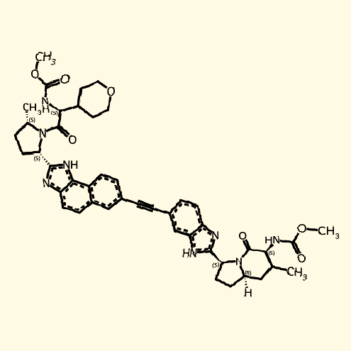 COC(=O)N[C@@H]1C(=O)N2[C@H](CC[C@H]2c2nc3ccc(C#Cc4ccc5c(ccc6nc([C@@H]7CC[C@H](C)N7C(=O)[C@@H](NC(=O)OC)C7CCOCC7)[nH]c65)c4)cc3[nH]2)CC1C